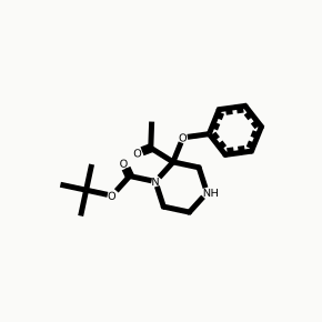 CC(=O)C1(Oc2ccccc2)CNCCN1C(=O)OC(C)(C)C